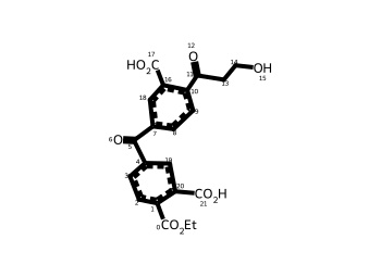 CCOC(=O)c1ccc(C(=O)c2ccc(C(=O)CCO)c(C(=O)O)c2)cc1C(=O)O